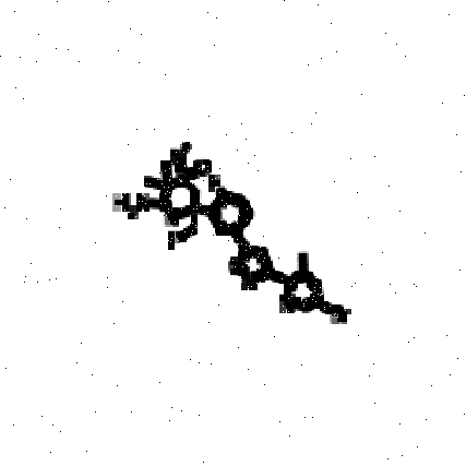 CN=[S@@]1(=O)C[C@@](CF)(c2cc(-c3cc(-c4ncc(Br)cc4C)no3)ccc2F)N=C(N)C1(C)C